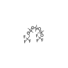 C[Si](C)(OCC(F)(F)F)O[Si](C)(C)O[Si](C)(C)OC(F)(F)F